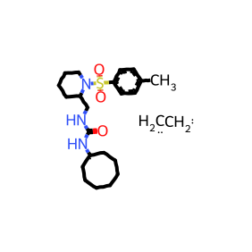 Cc1ccc(S(=O)(=O)N2CCCCC2CNC(=O)N[C]2CCCCCCC2)cc1.[CH2].[CH2]